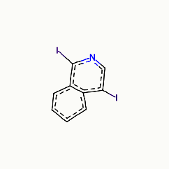 Ic1cnc(I)c2ccccc12